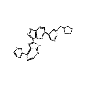 c1cncc(-c2ccnc3[nH]c(-c4n[nH]c5ccc(-c6cncc(CN7CCCC7)c6)nc45)nc23)c1